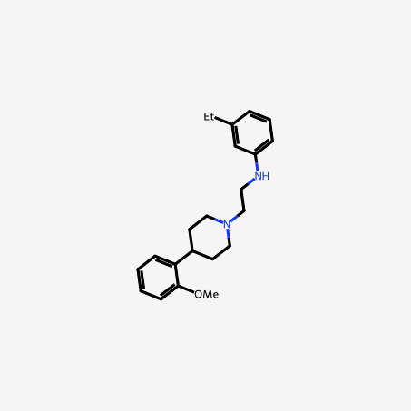 CCc1cccc(NCCN2CCC(c3ccccc3OC)CC2)c1